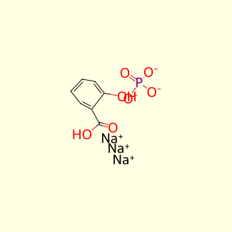 O=C(O)c1ccccc1O.O=P([O-])([O-])[O-].[Na+].[Na+].[Na+]